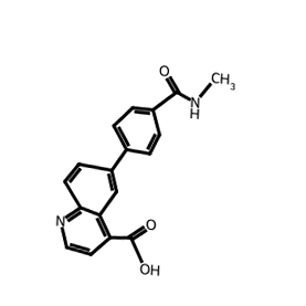 CNC(=O)c1ccc(-c2ccc3nccc(C(=O)O)c3c2)cc1